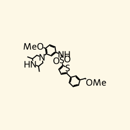 COCc1cccc(-c2ccc(S(=O)(=O)Nc3ccc(OC)c(N4CC(C)NC(C)C4)c3)s2)c1